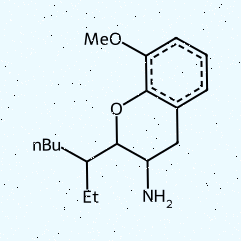 CCCCC(CC)C1Oc2c(cccc2OC)CC1N